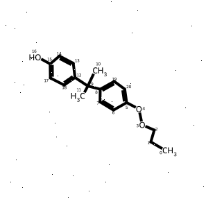 CCCOOc1ccc(C(C)(C)c2ccc(O)cc2)cc1